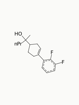 CCCC(C)(O)C1CC=C(c2cccc(F)c2F)CC1